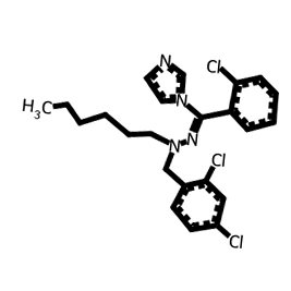 CCCCCCN(Cc1ccc(Cl)cc1Cl)N=C(c1ccccc1Cl)n1ccnc1